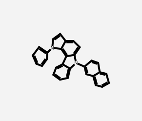 c1ccc(-n2ccc3ccc4c(c5ccccc5n4-c4ccc5ccccc5c4)c32)cc1